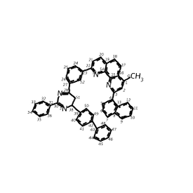 Cc1cc(-c2cccc3ccccc23)nc2c1ccc1ccc(-c3cccc(C4=NC(c5ccccc5)=NC(c5ccc(-c6ccccc6)cc5)C4)c3)nc12